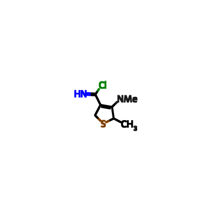 CNC1=C(C(=N)Cl)CSC1C